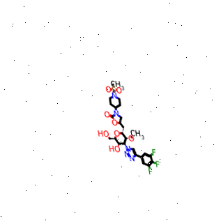 CO[C@@H]1[C@@H](n2cc(-c3cc(F)c(F)c(F)c3)nn2)[C@@H](O)[C@@H](CO)O[C@@H]1CC1CN(C2CCN(S(C)(=O)=O)CC2)C(=O)O1